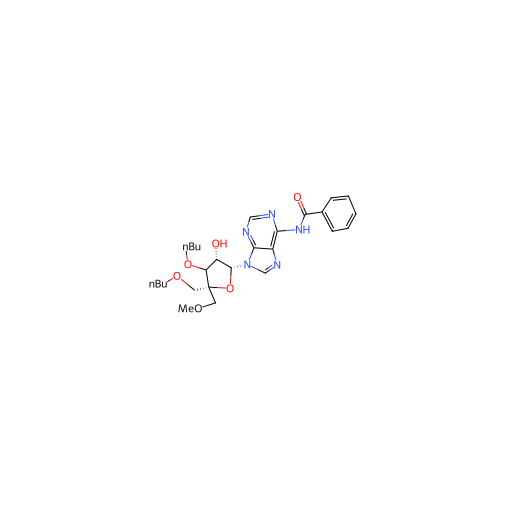 CCCCOC[C@@]1(COC)O[C@@H](n2cnc3c(NC(=O)c4ccccc4)ncnc32)[C@@H](O)C1OCCCC